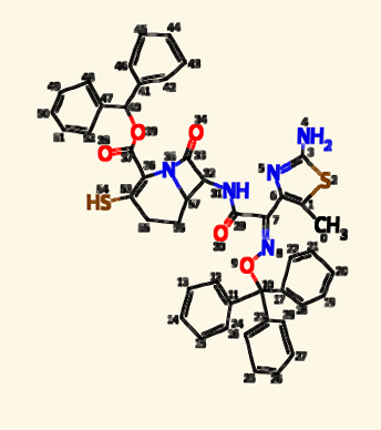 Cc1sc(N)nc1/C(=N/OC(c1ccccc1)(c1ccccc1)c1ccccc1)C(=O)NC1C(=O)N2C(C(=O)OC(c3ccccc3)c3ccccc3)=C(S)CCC12